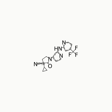 N#C[C@@]1(C2CC2)CCN(c2ccnc(Nc3cc(C(F)(F)F)ccn3)c2)C1=O